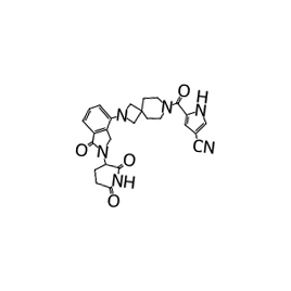 N#Cc1c[nH]c(C(=O)N2CCC3(CC2)CN(c2cccc4c2CN(C2CCC(=O)NC2=O)C4=O)C3)c1